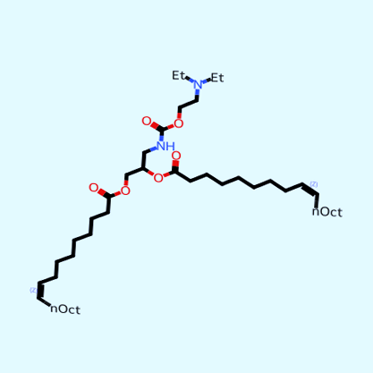 CCCCCCCC/C=C\CCCCCCCC(=O)OCC(CNC(=O)OCCN(CC)CC)OC(=O)CCCCCCC/C=C\CCCCCCCC